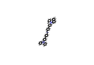 Cc1ccccc1N(c1ccc(-c2ccc(/C=C/c3ccc(-c4ccc(N(c5ccccc5)c5ccccc5)cc4)cc3)cc2)cc1)c1cccc2ccccc12